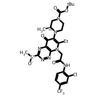 CCc1c(N2CCN(C(=O)OC(C)(C)C)C[C@@H]2C)c(=O)c2nc([S+](C)[O-])nnc2n1CC(=O)Nc1ccc(C(F)(F)F)cc1Cl